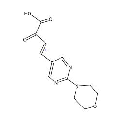 O=C(O)C(=O)/C=C/c1cnc(N2CCOCC2)nc1